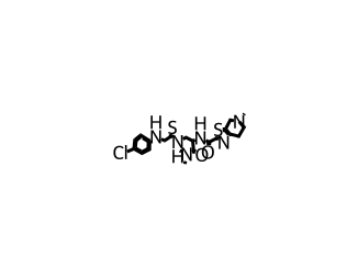 CN1CCc2nc(C(=O)NC(CNC(=S)CNc3ccc(Cl)cc3)C(=O)N(C)C)sc2C1